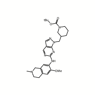 COc1cc2c(cc1Nc1ncc3cnn(CC4CCCN(C(=O)OC(C)(C)C)C4)c3n1)CN(C)CC2